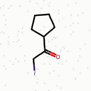 O=C(CI)C1CCCC1